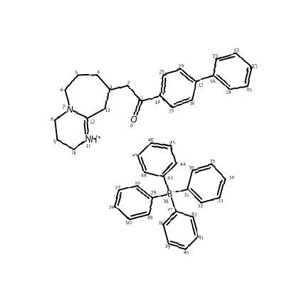 O=C(CC1CCCN2CCC[NH+]=C2C1)c1ccc(-c2ccccc2)cc1.c1ccc([B-](c2ccccc2)(c2ccccc2)c2ccccc2)cc1